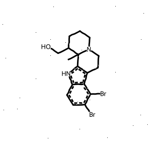 CC12c3[nH]c4ccc(Br)c(Br)c4c3CCN1CCCC2CO